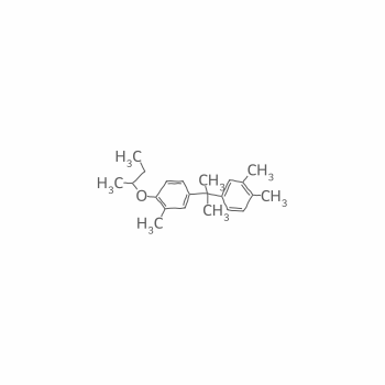 CCC(C)Oc1ccc(C(C)(C)c2ccc(C)c(C)c2)cc1C